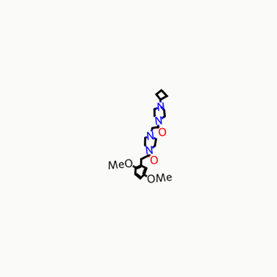 COc1ccc(OC)c(CC(=O)N2CCN(CC(=O)N3CCN(C4CCC4)CC3)CC2)c1